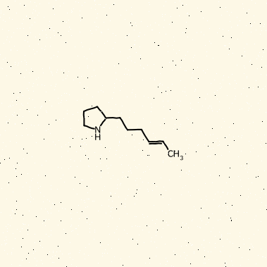 C/C=C/CCCC1CCCN1